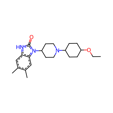 CCOC1CCC(N2CCC(n3c(=O)[nH]c4cc(C)c(C)cc43)CC2)CC1